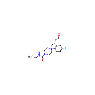 CCNC(=O)N1CC[N+](CCCC=O)(c2ccc(F)cc2)CC1